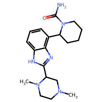 CN1CCN(C)C(c2nc3c(C4CCCCN4C(N)=O)cccc3[nH]2)C1